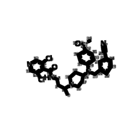 CC(CCNC(=O)c1c(Cl)cncc1Cl)N1CCC(N(Cc2cccc(C#N)c2)c2ccc([S+](C)[O-])cc2)CC1